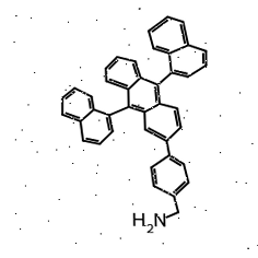 NCc1ccc(-c2ccc3c(-c4cccc5ccccc45)c4ccccc4c(-c4cccc5ccccc45)c3c2)cc1